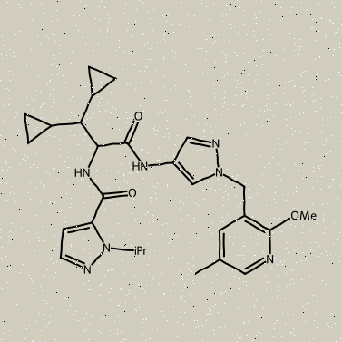 COc1ncc(C)cc1Cn1cc(NC(=O)C(NC(=O)c2ccnn2C(C)C)C(C2CC2)C2CC2)cn1